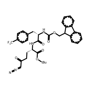 CC(C)(C)OC(=O)[C@H](CCC(=O)C=[N+]=[N-])NC(=O)[C@H](Cc1ccc(C(F)(F)F)cc1)NC(=O)OCC1c2ccccc2-c2ccccc21